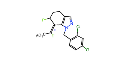 O=C(O)/C(F)=C1/c2c(cnn2Cc2ccc(Cl)cc2Cl)CCC1F